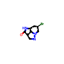 O=c1[nH]c2cc(Br)cn3ncc1c23